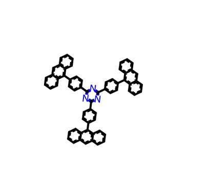 c1ccc2c(-c3ccc(-c4nc(-c5ccc(-c6c7ccccc7cc7ccccc67)cc5)nc(-c5ccc(-c6c7ccccc7cc7ccccc67)cc5)n4)cc3)c3ccccc3cc2c1